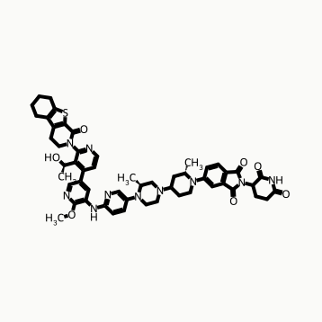 COc1ncc(-c2ccnc(N3CCc4c(sc5c4CCCC5)C3=O)c2[C@@H](C)O)cc1Nc1ccc(N2CCN(C3CCN(c4ccc5c(c4)C(=O)N(C4CCC(=O)NC4=O)C5=O)[C@@H](C)C3)C[C@@H]2C)cn1